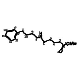 COC(=O)CCCCNCCCCc1ccccc1